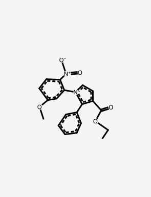 CCOC(=O)c1ccn(-c2cc(OC)ccc2[N+](=O)[O-])c1-c1ccccc1